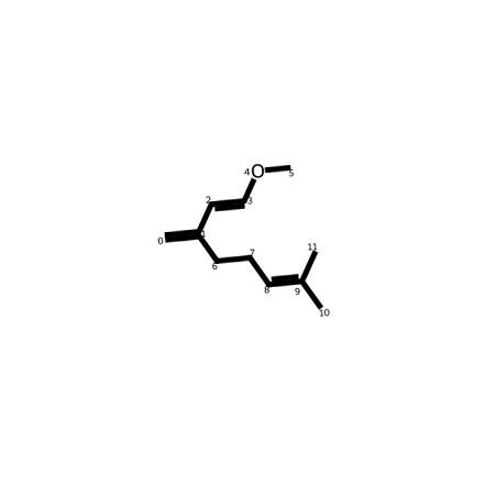 C=C(C=COC)CCC=C(C)C